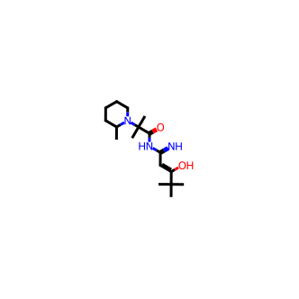 CC1CCCCN1C(C)(C)C(=O)NC(=N)/C=C(\O)C(C)(C)C